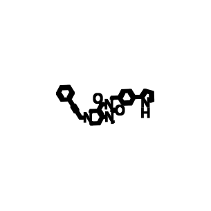 Cn1c2c(c(=O)n(Cc3ccc(-c4ccc[nH]4)cc3)c1=O)CN(CC#Cc1ccccc1)CC2